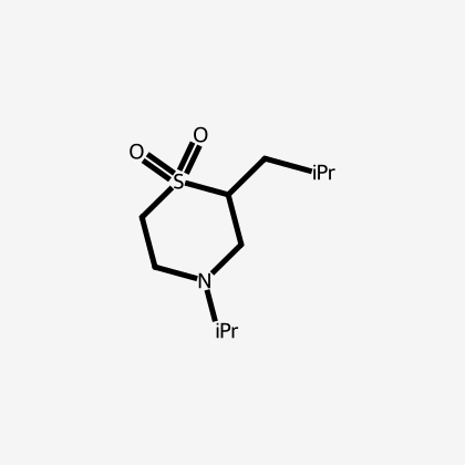 CC(C)CC1CN(C(C)C)CCS1(=O)=O